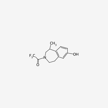 CC1CN(C(=O)C(F)(F)F)CCc2cc(O)ccc21